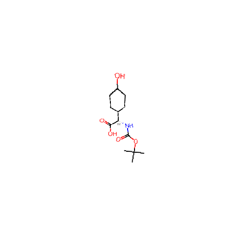 CC(C)(C)OC(=O)N[C@H](C(=O)O)C1CCC(O)CC1